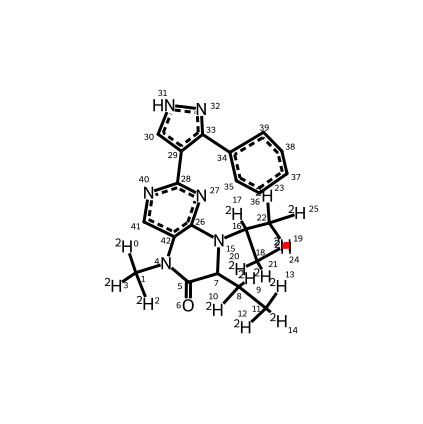 [2H]C([2H])([2H])N1C(=O)C(C([2H])([2H])C([2H])([2H])[2H])N(C([2H])(C([2H])([2H])[2H])C([2H])([2H])[2H])c2nc(-c3c[nH]nc3-c3ccccc3)ncc21